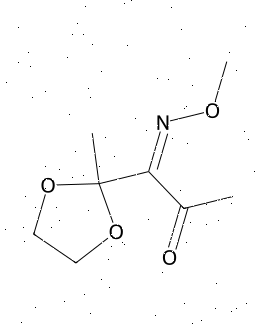 CON=C(C(C)=O)C1(C)OCCO1